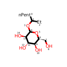 CCCCCC(CC)OC1O[C@H](CO)[C@@H](O)[C@H](O)[C@H]1O